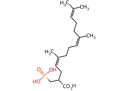 CC(C)=CCCC(C)=CCCC(C)=CCC(CP(=O)(O)O)C(=O)O